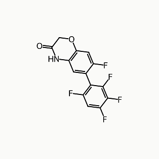 O=C1COc2cc(F)c(-c3c(F)cc(F)c(F)c3F)cc2N1